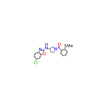 CSc1ccccc1C(=O)N1CC[C@@H](Nc2nc3ccc(Cl)cc3o2)C1